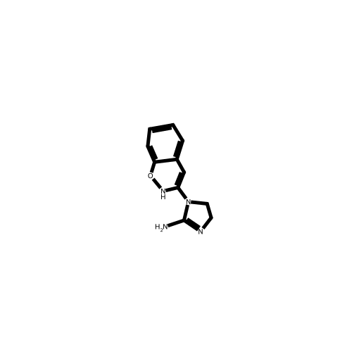 NC1=NCCN1C1=Cc2ccccc2ON1